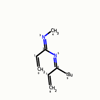 C=CC(=N/C)/N=C(\C=C)C(C)(C)C